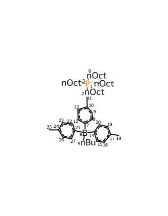 CCCCCCCC[P+](CCCCCCCC)(CCCCCCCC)CCCCCCCC.CCCC[B-](c1ccc(C)cc1)(c1ccc(C)cc1)c1ccc(C)cc1